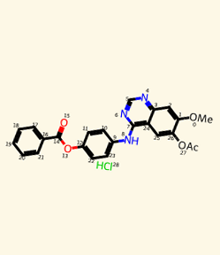 COc1cc2ncnc(Nc3ccc(OC(=O)c4ccccc4)cc3)c2cc1OC(C)=O.Cl